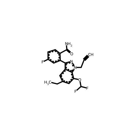 C#CCn1nc(-c2cc(F)ccc2C(N)=O)c2cc(CC)cc(OC(F)F)c21